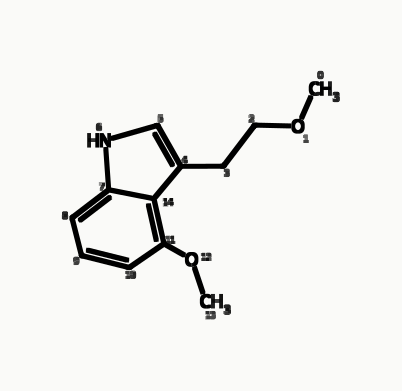 COCCc1c[nH]c2cccc(OC)c12